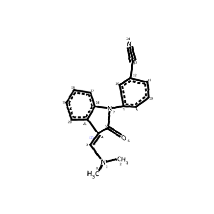 CN(C)/C=C1\C(=O)N(c2cccc(C#N)c2)c2ccccc21